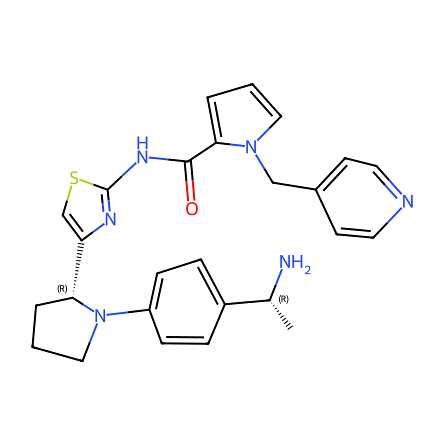 C[C@@H](N)c1ccc(N2CCC[C@@H]2c2csc(NC(=O)c3cccn3Cc3ccncc3)n2)cc1